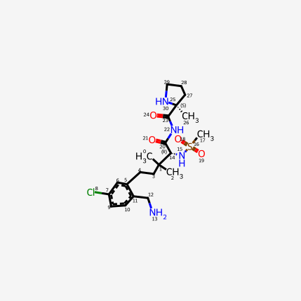 CC(C)(CCc1cc(Cl)ccc1CN)[C@@H](NS(C)(=O)=O)C(=O)NC(=O)[C@]1(C)CCCN1